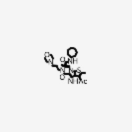 CC(=O)Nc1c2n(c3sc(C)c(C)c13)CC(C)(C(=O)NC1CCCCCC1)N(CCCN1CCOCC1)C2=O